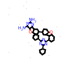 Nc1nc(N)c2oc3ccc(-c4ccc5oc6cccc(-c7nc(-c8ccccc8)nc(-c8ccccc8)n7)c6c5c4)cc3c2n1